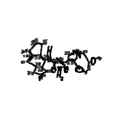 COC1COc2c(S(N)(=O)=NC(=O)Nc3c4c(cc5c3C[C@H](F)C5)CCC4)cnn2C1